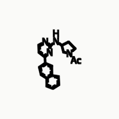 CC(=O)N1CCC(Nc2nccc(-c3ccc4ccccc4c3)n2)C1